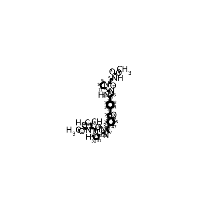 COC(=O)NCC(=O)N1CCC[C@H]1c1ncc(-c2ccc(-c3cc4cc(-c5cnc([C@@H]6CCCN6C(=O)C(NC(=O)OC)C(C)C)[nH]5)ccc4o3)cc2)[nH]1